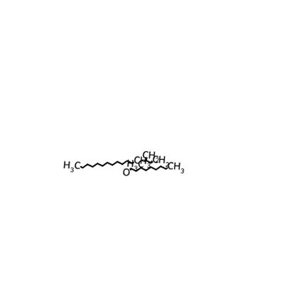 C=CC(=C)C.CCCCCCCCC=O.CCCCCCCCCCCCC